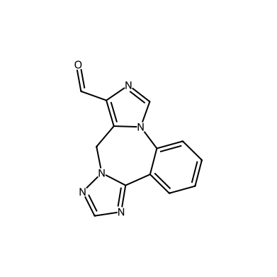 O=Cc1ncn2c1Cn1ncnc1-c1ccccc1-2